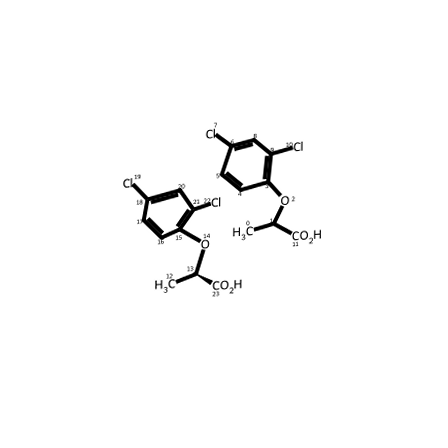 CC(Oc1ccc(Cl)cc1Cl)C(=O)O.C[C@@H](Oc1ccc(Cl)cc1Cl)C(=O)O